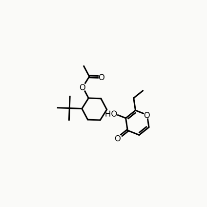 CC(=O)OC1CCCCC1C(C)(C)C.CCc1occc(=O)c1O